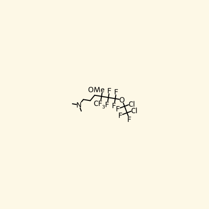 COC(CCCN(C)C)(C(F)(F)F)C(F)(F)C(F)(F)OC(F)(Cl)C(F)(F)Cl